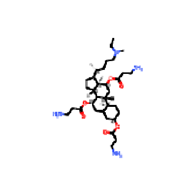 CCN(C)CCC[C@@H](C)C1CC[C@H]2C3[C@H](OC(=O)CCN)CC4C[C@H](OC(=O)CCN)CC[C@]4(C)[C@H]3C[C@H](OC(=O)CCN)[C@]12C